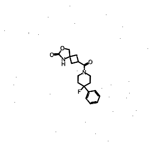 O=C1NC2(CO1)CC(C(=O)N1CCC(F)(c3ccccc3)CC1)C2